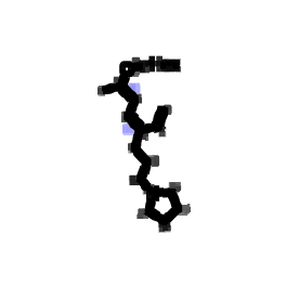 C=C/C(=C\C=C(/C)OCCCCCC)CCCN1CCCC1